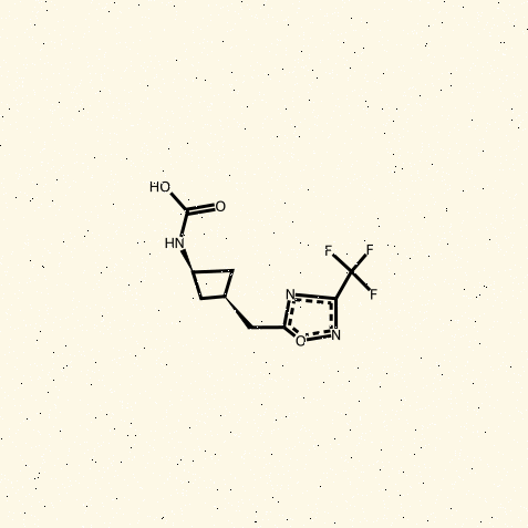 O=C(O)N[C@H]1C[C@@H](Cc2nc(C(F)(F)F)no2)C1